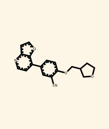 N#Cc1cc(-c2ccnc3ccoc23)ccc1OCC1CCOC1